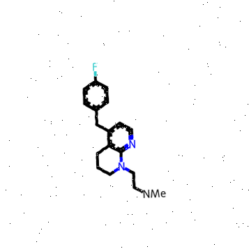 CNCCN1CCCc2c(Cc3ccc(F)cc3)ccnc21